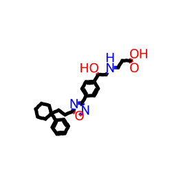 O=C(O)CCNCC(O)c1ccc(-c2noc(CCC3(c4ccccc4)CCCCC3)n2)cc1